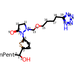 CCCCCC(O)c1ccc(N2C(=O)CCN2COCCCCc2nnn[nH]2)s1